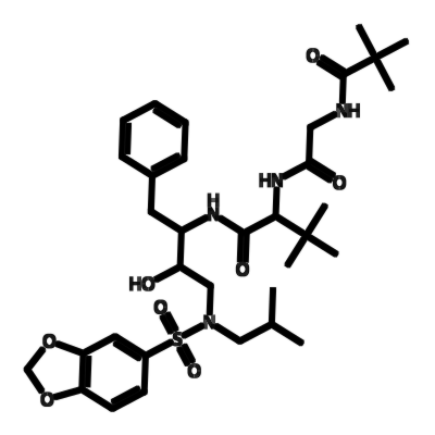 CC(C)CN(CC(O)C(Cc1ccccc1)NC(=O)C(NC(=O)CNC(=O)C(C)(C)C)C(C)(C)C)S(=O)(=O)c1ccc2c(c1)OCO2